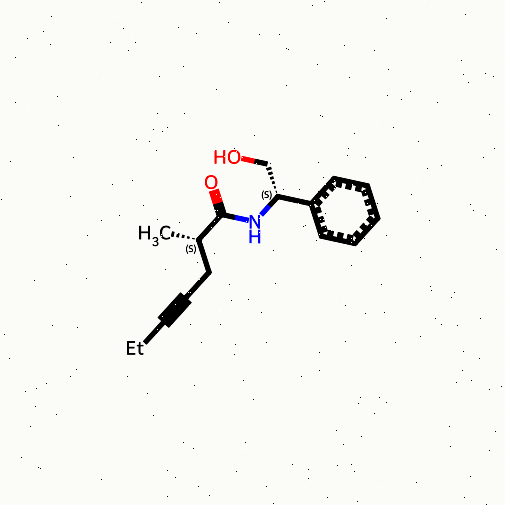 CCC#CC[C@H](C)C(=O)N[C@H](CO)c1ccccc1